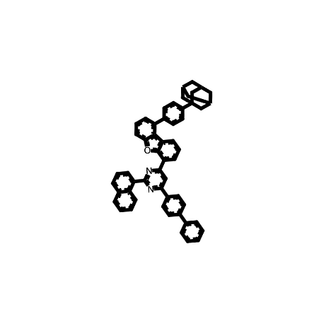 c1ccc(-c2ccc(-c3cc(-c4cccc5c4oc4cccc(-c6ccc(C78CC9CC(CC(C9)C7)C8)cc6)c45)nc(-c4cccc5ccccc45)n3)cc2)cc1